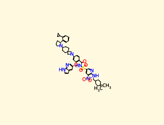 CC1(C)CCC(CNc2ncc(S(=O)(=O)NC(=O)c3ccc(N4CC5(CCC(N6CCC[C@H]6c6ccccc6C6CC6)CC5)C4)cc3Oc3cnc4[nH]ccc4c3)cc2[N+](=O)[O-])CC1